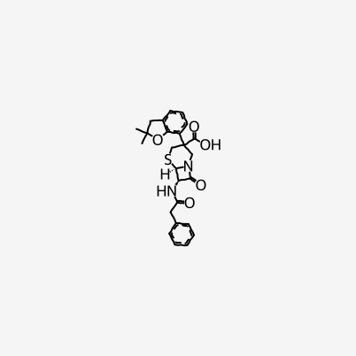 CC1(C)Cc2cccc(C3(C(=O)O)CS[C@@H]4[C@H](NC(=O)Cc5ccccc5)C(=O)N4C3)c2O1